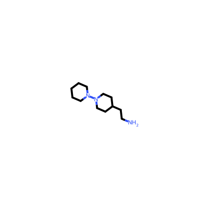 NCCC1CCN(N2CCCCC2)CC1